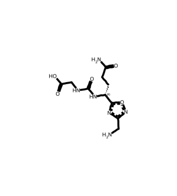 NCc1noc([C@@H](CCC(N)=O)NC(=O)NCC(=O)O)n1